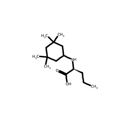 CCC[C@H](NC1CC(C)(C)CC(C)(C)C1)C(=O)O